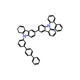 C1=Cc2c(n(-c3cccc(-c4ccc(-c5ccccc5)cc4)c3)c3ccc(-c4ccc5c(c4)c4ccccc4n5-c4ccccc4-c4ccccc4)cc23)CC1